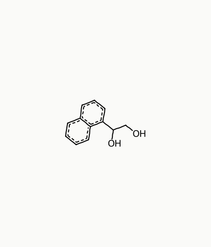 OCC(O)c1cccc2ccccc12